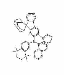 CC1(C)CCC(C)(C)c2cc(N(c3cc4c(cc3-c3ccccc3)-c3ccccc3C43C4CC5CC(C4)CC3C5)c3cccc4ccccc34)ccc21